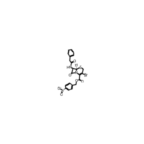 O=C(Cc1ccccc1)NC1C(=O)N2C(C(=O)OCc3ccc([N+](=O)[O-])cc3)=C(Br)CS[C@H]12